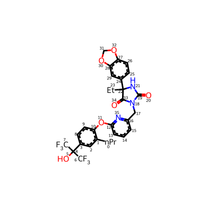 CCCc1cc(C(O)(C(F)(F)F)C(F)(F)F)ccc1Oc1cccc(CN2C(=O)NC(CC)(c3ccc4c(c3)OCO4)C2=O)n1